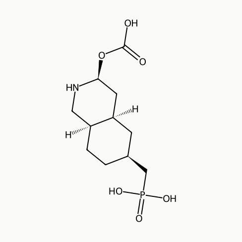 O=C(O)O[C@H]1C[C@H]2C[C@@H](CP(=O)(O)O)CC[C@H]2CN1